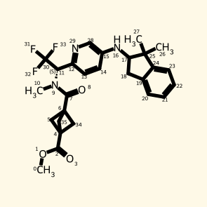 COC(=O)C12CC(C(=O)N(C)[C@@H](c3ccc(NC4Cc5ccccc5C4(C)C)cn3)C(F)(F)F)(C1)C2